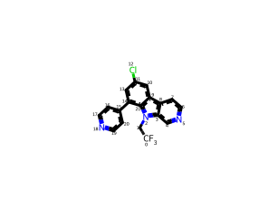 FC(F)(F)Cn1c2cnccc2c2cc(Cl)cc(-c3ccncc3)c21